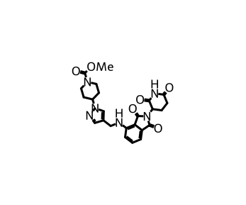 COC(=O)N1CCC(n2cc(CNc3cccc4c3C(=O)N(C3CCC(=O)NC3=O)C4=O)cn2)CC1